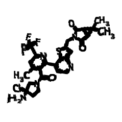 Cc1cc(C(F)(F)F)nc(-c2ccnc3cc(CN4C(=O)C5C(C4=O)C5(C)C)sc23)c1C(=O)N1CCC(N)(Cl)C1